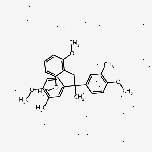 COc1ccc(C(C)(Cc2c(OC)c[c]cc2OC)c2ccc(OC)c(C)c2)cc1C